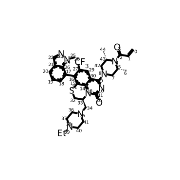 C=CC(=O)N1[C@H](C)CN(c2nc(=O)n3c4c(c(-c5cccc6cnn(C)c56)c(C(F)(F)F)cc24)SC[C@@H]3CN2CCN(CC)CC2)C[C@@H]1C